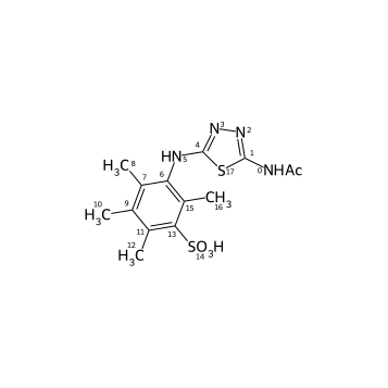 CC(=O)Nc1nnc(Nc2c(C)c(C)c(C)c(S(=O)(=O)O)c2C)s1